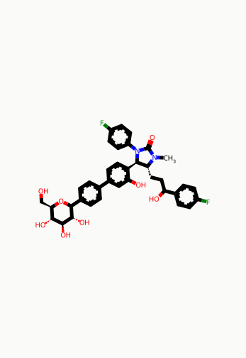 CN1C(=O)N(c2ccc(F)cc2)[C@H](c2ccc(-c3ccc(C4O[C@H](CO)[C@@H](O)[C@H](O)[C@H]4O)cc3)cc2O)[C@H]1CCC(O)c1ccc(F)cc1